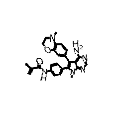 C=C(C)C(=O)Nc1ccc(-c2c(-c3ccc4c(c3)OCCN4C)c3c(N)ncnc3n2C)cc1